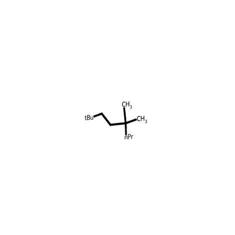 [CH2]C(C)(C)CCC(C)(C)CCC